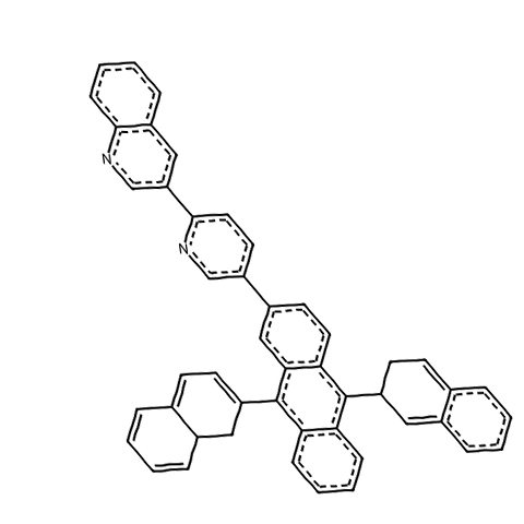 C1=CC2=CC=C(c3c4ccccc4c(C4C=c5ccccc5=CC4)c4ccc(-c5ccc(-c6cnc7ccccc7c6)nc5)cc34)CC2C=C1